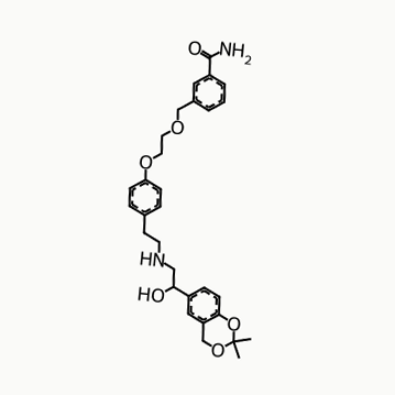 CC1(C)OCc2cc(C(O)CNCCc3ccc(OCCOCc4cccc(C(N)=O)c4)cc3)ccc2O1